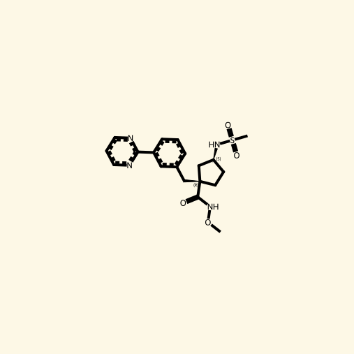 CONC(=O)[C@@]1(Cc2cccc(-c3ncccn3)c2)CC[C@H](NS(C)(=O)=O)C1